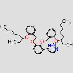 CCCCCC(CC)Oc1ccccc1COc1cccc(-c2ccnnn2)c1OCc1ccccc1OC(CC)CCCCC